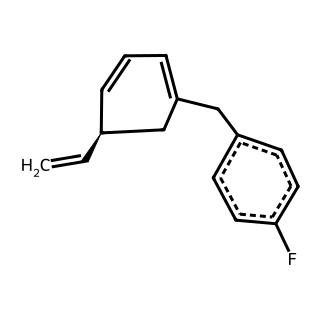 C=C[C@H]1C=CC=C(Cc2ccc(F)cc2)C1